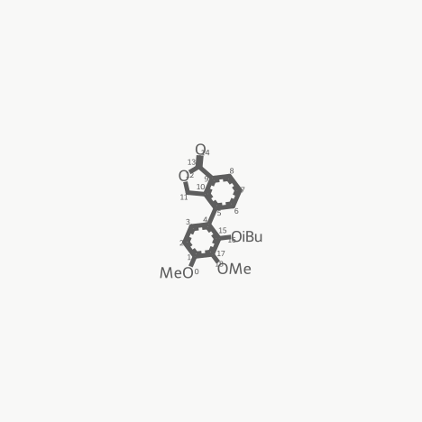 COc1ccc(-c2cccc3c2COC3=O)c(OCC(C)C)c1OC